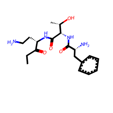 CCC(=O)[C@H](CCN)NC(=O)[C@@H](NC(=O)[C@H](N)Cc1ccccc1)[C@H](C)O